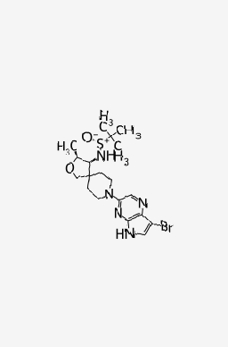 C[C@@H]1OCC2(CCN(c3cnc4c(Br)c[nH]c4n3)CC2)[C@@H]1N[S@+]([O-])C(C)(C)C